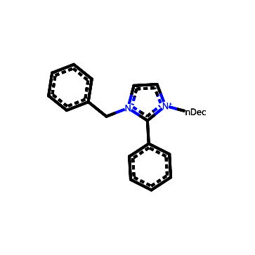 CCCCCCCCCC[n+]1ccn(Cc2ccccc2)c1-c1ccccc1